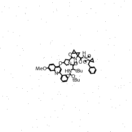 COc1ccc2c(OC3CC(C(=O)NC4(C(=O)NS(=O)(=O)C5(Cc6ccccc6)CC5)CC45CC5)N(C(=O)C(NC(=O)OC(C)(C)C)C(C)(C)C)C3)cc(-c3ccccc3)nc2c1